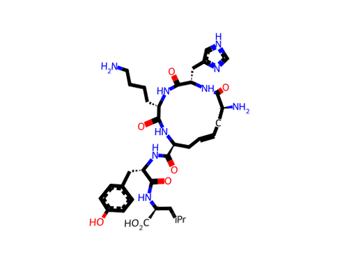 CC(C)C[C@H](NC(=O)[C@H](Cc1ccc(O)cc1)NC(=O)[C@@H]1C/C=C/C[C@H](N)C(=O)N[C@@H](Cc2c[nH]cn2)C(=O)N[C@@H](CCCCN)C(=O)N1)C(=O)O